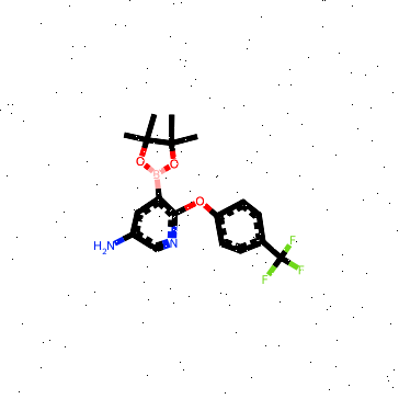 CC1(C)OB(c2cc(N)cnc2Oc2ccc(C(F)(F)F)cc2)OC1(C)C